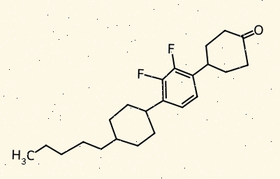 CCCCCC1CCC(c2ccc(C3CCC(=O)CC3)c(F)c2F)CC1